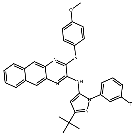 COc1ccc(Sc2nc3cc4ccccc4cc3nc2Nc2cc(C(C)(C)C)nn2-c2cccc(F)c2)cc1